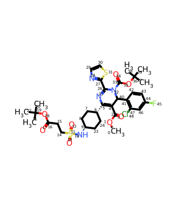 COC(=O)C1=C([C@H]2CC[C@@H](NS(=O)(=O)CCC(=O)OC(C)(C)C)CC2)N=C(c2nccs2)N(C(=O)OC(C)(C)C)C1c1ccc(F)cc1Cl